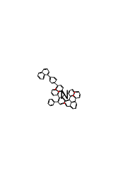 c1ccc(-c2cccc(N(c3ccc(-c4ccc(-c5cccc6ccccc56)cc4)cc3)c3ccccc3-c3cccc4cccc(-c5ccccc5)c34)c2-c2ccccc2)cc1